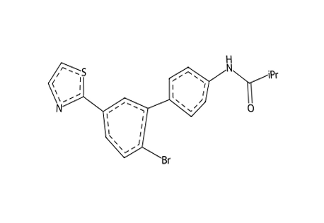 CC(C)C(=O)Nc1ccc(-c2cc(-c3nccs3)ccc2Br)cc1